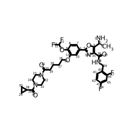 C[C@H](N)c1oc(-c2ccc(OC(F)F)c(OCCCCC(=O)N3CCN(C(=O)C4CC4)CC3)c2)nc1C(=O)NCc1ccc(F)cc1F